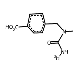 [2H]NC(=O)N(C)Cc1ccc(C(=O)O)cc1